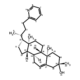 C[C@H](CCc1ccccn1)[C@H]1CC[C@H]2[C@@H]3CC=C4C[C@@](C)(O)CC[C@]4(C)[C@H]3CC[C@]12C